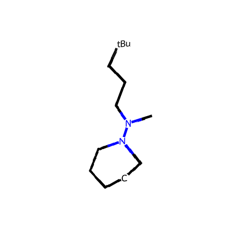 CN(CCCC(C)(C)C)N1CCCCC1